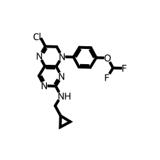 FC(F)Oc1ccc(N2CC(Cl)=Nc3cnc(NCC4CC4)nc32)cc1